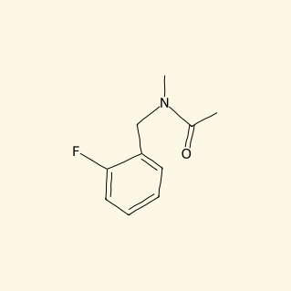 CC(=O)N(C)Cc1ccccc1F